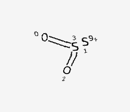 O=S=O.[S+9]